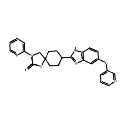 O=C1OC2(CCC(c3nc4cc(Oc5cccnc5)ccc4[nH]3)CC2)CN1c1ccccn1